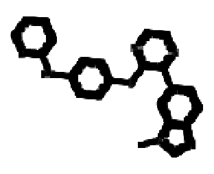 Cn1cnc2ccc(-c3nccnc3Oc3ccc(Nc4ccccn4)cc3)cc21